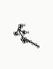 C=C(/C=C/C=C/C=C1/N(CCCS(=O)(=O)O)c2ccc(S(=O)(=O)O)cc2C1(C)CCCS(=O)(=O)O)C(C)(CCOCCOCCOCCOCCOCCOC)c1cc(S(=O)(=O)O)ccc1C